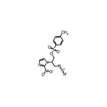 Cc1ccc(S(=O)(=O)OCC(CN=[N+]=[N-])n2ccnc2[N+](=O)[O-])cc1